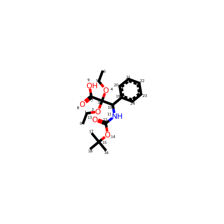 CCOC(OCC)(C(=O)O)C(NC(=O)OC(C)(C)C)c1ccccc1